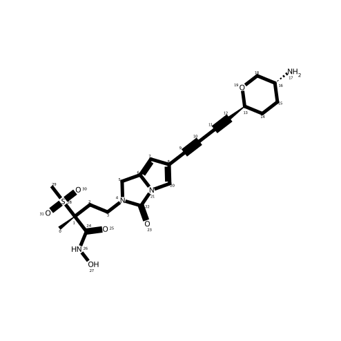 C[C@@](CCN1Cc2cc(C#CC#C[C@@H]3CC[C@@H](N)CO3)cn2C1=O)(C(=O)NO)S(C)(=O)=O